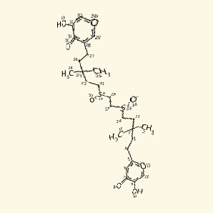 CC(C)(CCc1cc(=O)c(O)co1)CC[S+]([O-])CC[S+]([O-])CCC(C)(C)CCc1cocc(O)c1=O